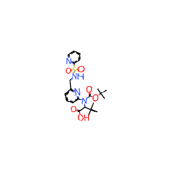 CC(C)(C)OC(=O)N(c1cccc(CNS(=O)(=O)c2ccccn2)n1)C(C(=O)O)C(C)(C)C